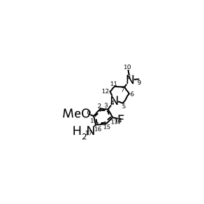 COc1cc(N2CCC(N(C)C)CC2)c(F)cc1N